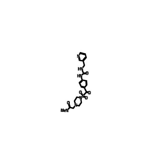 CNC(=O)CN1CCN(S(=O)(=O)C(=O)c2ccc(NC(=O)NCc3cccnc3)cc2)CC1